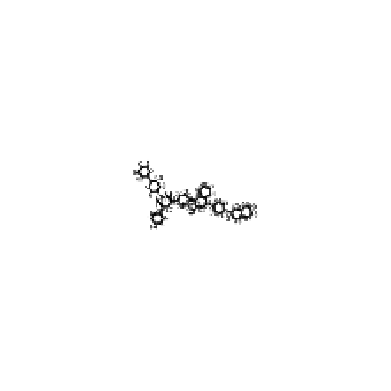 c1ccc(-c2ccc(-c3nc(-c4ccccc4)cc(-c4ccc5c(c4)sc4cc(-c6ccc(-c7ccc8ccccc8c7)cc6)c6ccccc6c45)n3)cc2)cc1